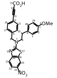 COc1ccc(CCN(Cc2ccc(C#CC(=O)O)cc2)c2nc3ccc([N+](=O)[O-])cc3s2)cc1